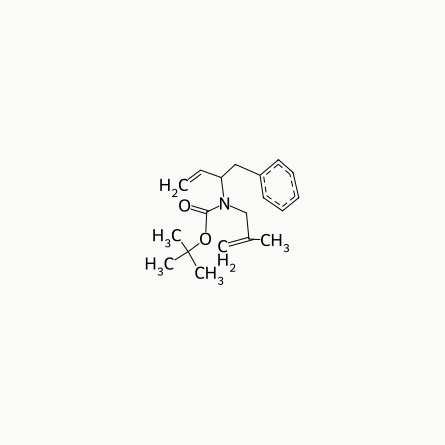 C=CC(Cc1ccccc1)N(CC(=C)C)C(=O)OC(C)(C)C